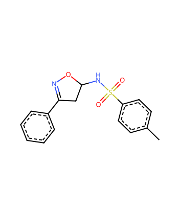 Cc1ccc(S(=O)(=O)NC2CC(c3ccccc3)=NO2)cc1